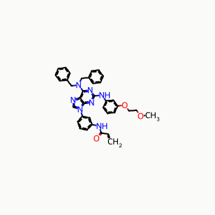 C=CC(=O)Nc1cccc(-n2cnc3c(N(Cc4ccccc4)Cc4ccccc4)nc(Nc4cccc(OCCOC)c4)nc32)c1